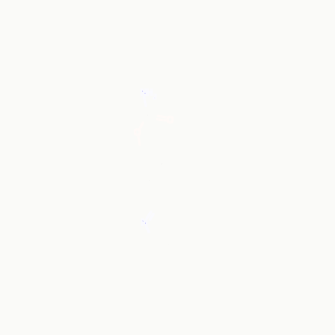 Cc1ccnc(C2CC(OC(N)=O)C2)c1